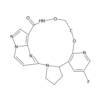 O=C1NOCCOc2ncc(F)cc2C2CCCN2c2ccn3ncc1c3n2